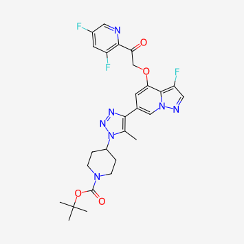 Cc1c(-c2cc(OCC(=O)c3ncc(F)cc3F)c3c(F)cnn3c2)nnn1C1CCN(C(=O)OC(C)(C)C)CC1